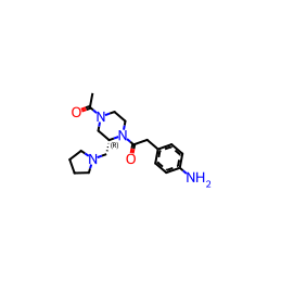 CC(=O)N1CCN(C(=O)Cc2ccc(N)cc2)[C@H](CN2CCCC2)C1